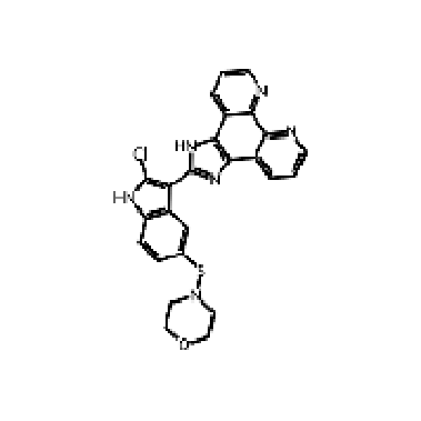 Clc1[nH]c2ccc(SN3CCOCC3)cc2c1-c1nc2c3cccnc3c3ncccc3c2[nH]1